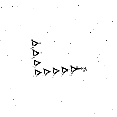 C1CO1.C1CO1.C1CO1.C1CO1.C1CO1.C1CO1.C1CO1.NC1CO1